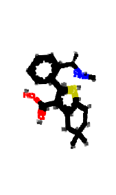 CN[C@@H](C)c1ccccc1-c1sc2c(c1C(=O)O)CC(C)(C)CC2